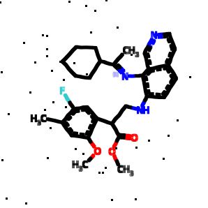 COC(=O)C(CNc1ccc2ccncc2c1/N=C(\C)C1CCCCC1)c1cc(F)c(C)cc1OC